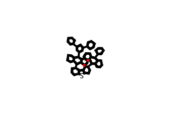 c1ccc(-c2cc(-c3ccccc3)cc(-c3c4ccccc4c(-c4cccc5sc6ccc(-c7c8ccccc8c(-c8ccccc8)c8ccccc78)cc6c45)c4ccccc34)c2)cc1